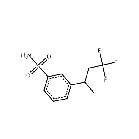 CC(CC(F)(F)F)c1cccc(S(N)(=O)=O)c1